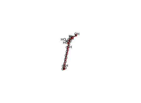 Cc1nc(NCCCc2cccc(O)c2)nc(C)c1C(=O)N[C@@H](CNC(=O)c1cc(O)cc(OCCCNC(=O)CCOCCOCCOCCOCCOCCOCCOCCOCCNC(=O)CCN2C(=O)C=CC2=O)c1)C(=O)O